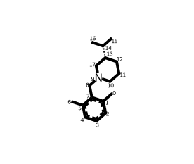 Cc1cccc(C)c1CN1CCC[C@@H](C(C)C)C1